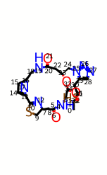 CC(C)[C@@H]1NC(=O)[C@]2(C)CSC(=N2)C2=CCC(=N2)CNC(=O)C[C@@H](Cn2nncc2CCS)OC1=O